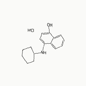 Cl.Oc1ccc(NC2CCCCC2)c2ccccc12